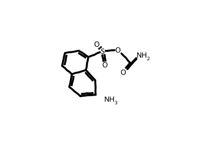 N.NC(=O)OS(=O)(=O)c1cccc2ccccc12